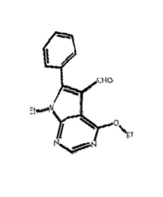 CCOc1ncnc2c1c(C=O)c(-c1ccccc1)n2CC